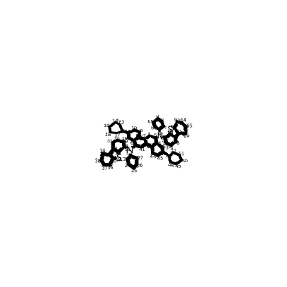 c1ccc(N(c2cc3c4ccc(C5CCCCC5)cc4c(N(c4ccccc4)c4cccc5c4sc4ccccc45)cc3c3ccc(C4CCCCC4)cc23)c2cccc3c2sc2ccccc23)cc1